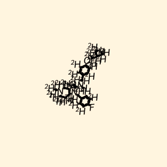 [2H]c1c([2H])c(C([2H])([2H])N(C(=O)N([2H])C([2H])([2H])c2c([2H])c([2H])c(OC([2H])([2H])C([2H])(C([2H])([2H])[2H])C([2H])([2H])[2H])c([2H])c2[2H])C2([2H])C([2H])([2H])C([2H])([2H])N(C([2H])([2H])[2H])C([2H])([2H])C2([2H])[2H])c([2H])c([2H])c1F